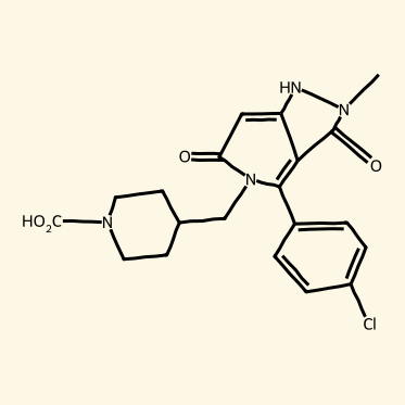 Cn1[nH]c2cc(=O)n(CC3CCN(C(=O)O)CC3)c(-c3ccc(Cl)cc3)c2c1=O